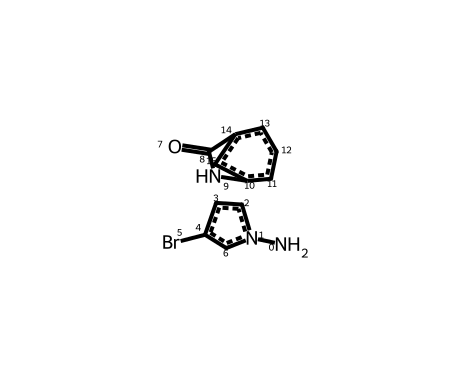 Nn1ccc(Br)c1.O=C1Nc2cccc1c2